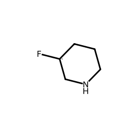 F[C]1CCCNC1